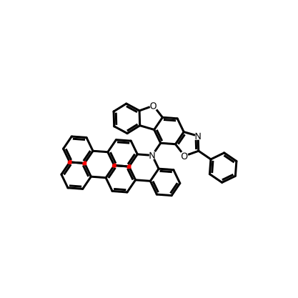 c1ccc(-c2ccc(-c3ccccc3N(c3ccc(-c4ccccc4)cc3)c3c4oc(-c5ccccc5)nc4cc4oc5ccccc5c34)cc2)cc1